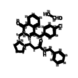 O=C(CCN1CCC[C@@H]1Cn1nc(Cc2ccc(Cl)cc2)c2ccccc2c1=O)NCc1ccccc1.O=CO